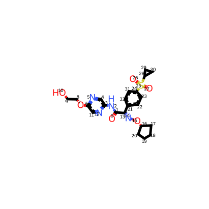 O=C(Nc1cnc(OCCO)cn1)/C(=N/OC1CCCC1)c1ccc(S(=O)(=O)C2CC2)cc1